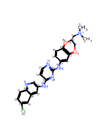 CN(C)C[C@H]1COc2cc(Nc3nccc(Nc4cnc5ccc(Cl)cc5c4)n3)ccc2O1